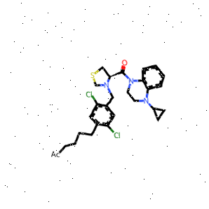 CC(=O)CCCCc1cc(Cl)c(CN2CSC[C@H]2C(=O)N2CCN(C3CC3)c3ccccc32)cc1Cl